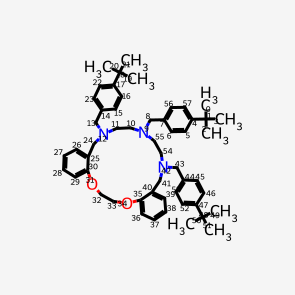 CC(C)(C)c1ccc(CN2CCN(Cc3ccc(C(C)(C)C)cc3)Cc3ccccc3OCCOc3ccccc3CN(Cc3ccc(C(C)(C)C)cc3)CC2)cc1